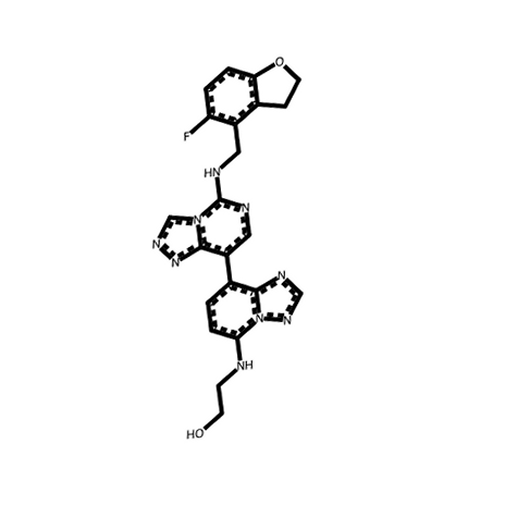 OCCNc1ccc(-c2cnc(NCc3c(F)ccc4c3CCO4)n3cnnc23)c2ncnn12